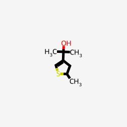 CC1CC(C(C)(C)O)=CS1